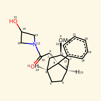 CO[C@H]1C[C@H]2CC[C@@H](C1)[C@@]2(CC(=O)N1CC(O)C1)c1ccccc1